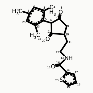 Cc1cc(C)c(C2C(=O)CC(CCNC(=O)c3cccs3)C2=O)c(C)c1